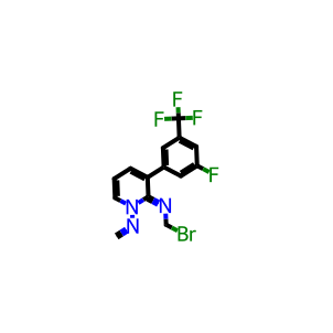 C=Nn1cccc(-c2cc(F)cc(C(F)(F)F)c2)/c1=N/CBr